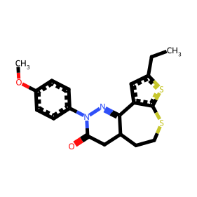 CCc1cc2c(s1)SCCC1CC(=O)N(c3ccc(OC)cc3)N=C21